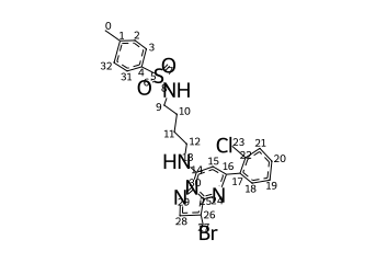 Cc1ccc(S(=O)(=O)NCCCCNc2cc(-c3ccccc3Cl)nc3c(Br)cnn23)cc1